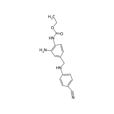 CCOC(=O)Nc1ccc(CNc2ccc(C#N)cc2)cc1N